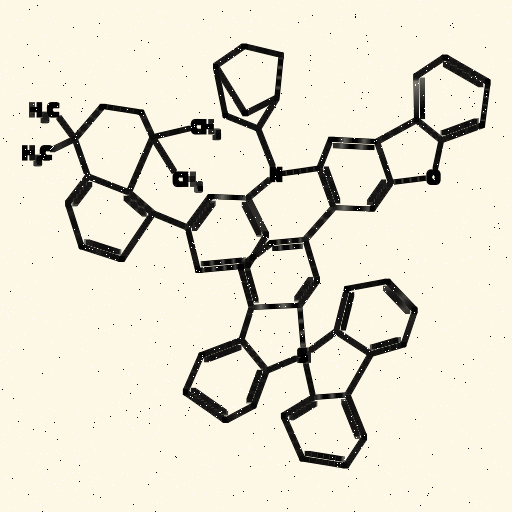 CC1(C)CCC(C)(C)c2c(-c3cccc(N(c4cc5c(cc4-c4ccc6c(c4)[Si]4(c7ccccc7-c7ccccc74)c4ccccc4-6)oc4ccccc45)C4CC5CCC4C5)c3)cccc21